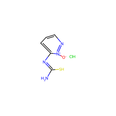 Cl.N/C(S)=N/c1cccn[n+]1[O-]